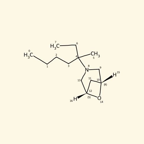 CCCCC(C)(CC)N1C[C@H]2C[C@@H](C1)O2